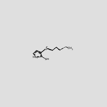 CCCCCSc1cc[nH]c1S